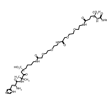 CCCCCCC(=O)N[C@@H](CCC(=O)NCCOCCOCC(=O)NCCOCCOCC(=O)NCCCC[C@H](CC(=O)C(C)(C)NC(=O)[C@@H](N)Cc1cnc[nH]1)C(=O)O)C(=O)O